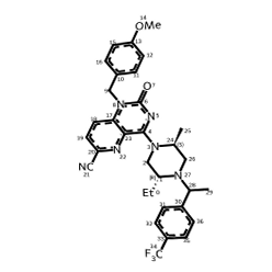 CC[C@@H]1CN(c2nc(=O)n(Cc3ccc(OC)cc3)c3ccc(C#N)nc23)[C@@H](C)CN1C(C)c1ccc(C(F)(F)F)cc1